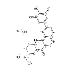 CC(=O)c1cnc2ccc(-c3cc(Cl)c(O)c(Cl)c3)nc2c1N[C@H]1CC[C@H](N(C)C)CC1.Cl.Cl